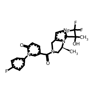 C[C@H]1CN(C(=O)c2ccc(=O)n(-c3ccc(F)cc3)c2)Cc2cnc(C(C)(O)C(F)(F)F)n21